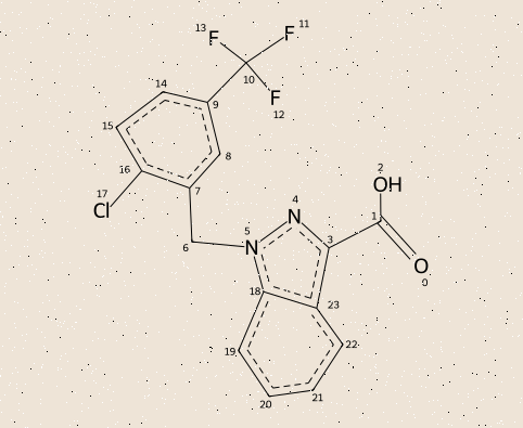 O=C(O)c1nn(Cc2cc(C(F)(F)F)ccc2Cl)c2ccccc12